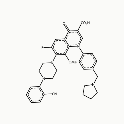 COc1c(N2CCN(c3ccccc3C#N)CC2)c(F)cc2c(=O)c(C(=O)O)cn(-c3ccc(CN4CCCC4)cc3)c12